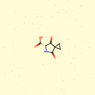 O=C(O)[C@H]1NC(=O)C2(CC2)C1=O